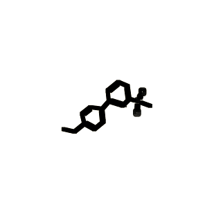 CCc1ccc(-c2[c]c(S(C)(=O)=O)ccc2)cc1